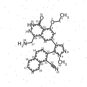 CCOc1cc(-c2cnn(C)c2-c2ccc3ccccc3c2C#N)cc2c(CN)n[nH]c(=O)c12